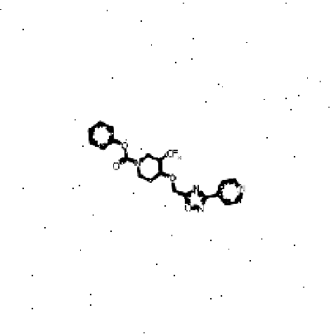 O=C(Oc1ccccc1)N1CCC(OCc2nc(-c3ccncc3)no2)C(C(F)(F)F)C1